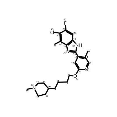 Cc1cnc(OCCCCC2CCN(C)CC2)cc1-c1nc2c(C)c(Cl)c(F)cc2[nH]1